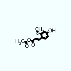 COc1cc(O)ccc1C=CC(=O)OC(C)=O